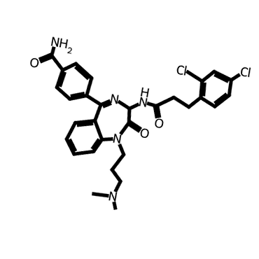 CN(C)CCCN1C(=O)C(NC(=O)CCc2ccc(Cl)cc2Cl)N=C(c2ccc(C(N)=O)cc2)c2ccccc21